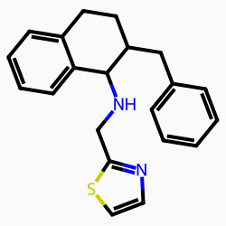 c1ccc(CC2CCc3ccccc3C2NCc2nccs2)cc1